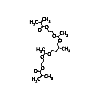 C=C(C)C(=O)OCCOC(C)OCCC(C)COC(C)OCCOC(=O)C(=C)C